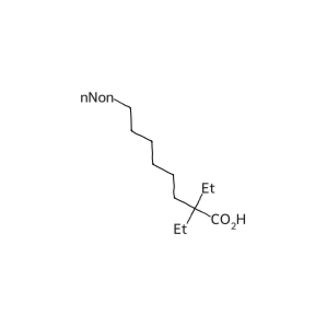 CCCCCCCCCCCCCCCC(CC)(CC)C(=O)O